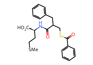 CSCC[C@H](NC(=O)C(CSC(=O)c1ccccc1)Cc1ccccc1)C(=O)O